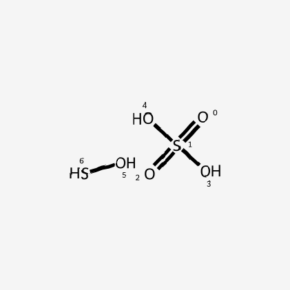 O=S(=O)(O)O.OS